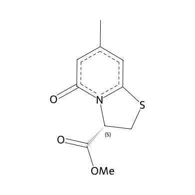 COC(=O)[C@H]1CSc2cc(C)cc(=O)n21